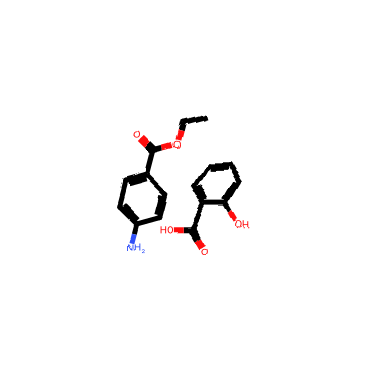 CCOC(=O)c1ccc(N)cc1.O=C(O)c1ccccc1O